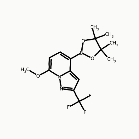 COc1ccc(B2OC(C)(C)C(C)(C)O2)c2cc(C(F)(F)F)nn12